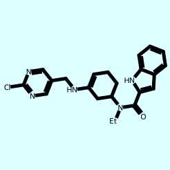 CCN(C(=O)c1cc2ccccc2[nH]1)C1CCC=C(NCc2cnc(Cl)nc2)C1